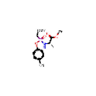 COCP(=O)(N[C@@H](C)C(=O)OC(C)C)Oc1ccc(C#N)cc1